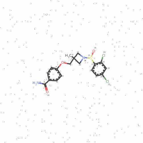 CC1(COc2ccc(C(N)=O)cc2)CN([S+]([O-])c2ccc(Cl)cc2Cl)C1